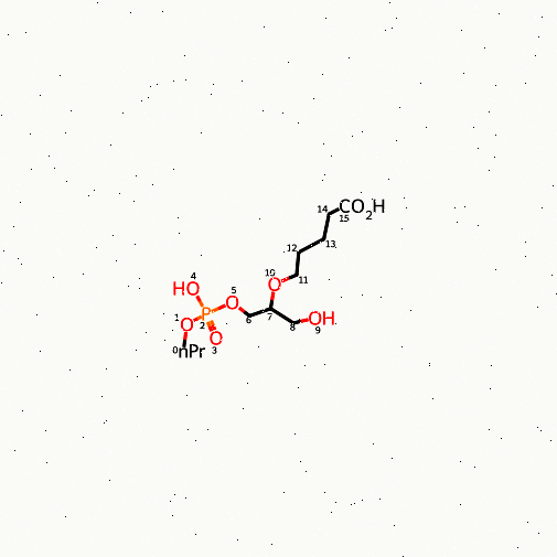 CCCOP(=O)(O)OCC(CO)OCCCCC(=O)O